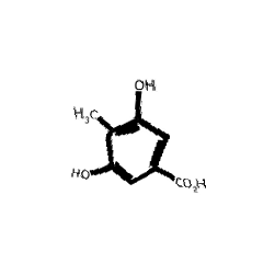 Cc1c(O)cc(C(=O)O)cc1O